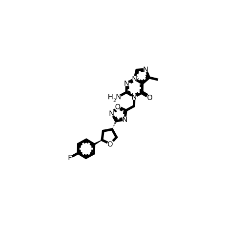 Cc1ncn2nc(N)n(Cc3nc([C@@H]4CO[C@@H](c5ccc(F)cc5)C4)no3)c(=O)c12